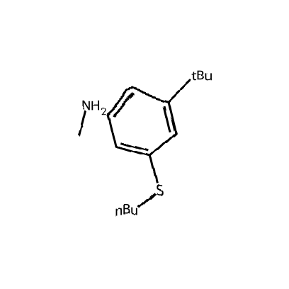 CCCCSc1cccc(C(C)(C)C)c1.CN